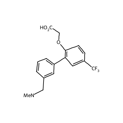 CNCc1cccc(-c2cc(C(F)(F)F)ccc2OCC(=O)O)c1